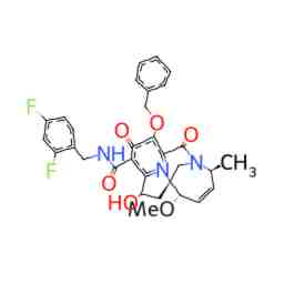 CO[C@H]1C=C[C@H](C)N2C[C@]13CC(O)c1c(C(=O)NCc4ccc(F)cc4F)c(=O)c(OCc4ccccc4)c(n13)C2=O